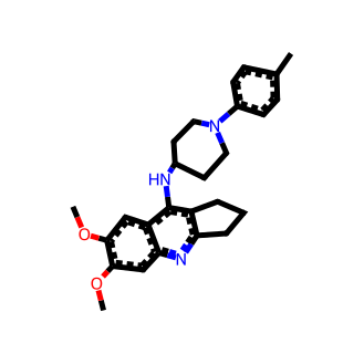 COc1cc2nc3c(c(NC4CCN(c5ccc(C)cc5)CC4)c2cc1OC)CCC3